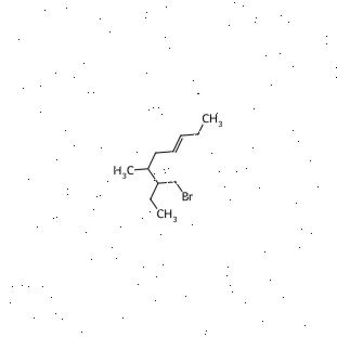 CCC=CCC(C)C(CC)CBr